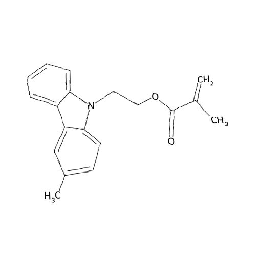 C=C(C)C(=O)OCCn1c2ccccc2c2cc(C)ccc21